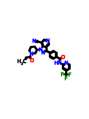 C=CC(=O)N1CCCC(n2nc(-c3ccc(C(=O)Nc4cc(C(F)(F)F)ccn4)cc3)c3cncc(C#N)c32)C1